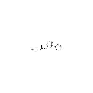 CCOC(=O)CNCc1ccnc(N2CCOCC2)c1